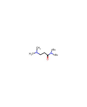 CCCCN(CCCC)C(=O)CCN(C)C